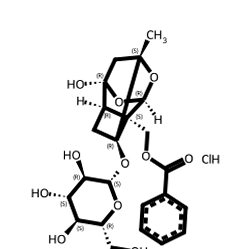 C[C@@]12C[C@@]3(O)O[C@@H](O1)[C@]1(COC(=O)c4ccccc4)[C@H]3C[C@@]12O[C@@H]1O[C@H](CO)[C@@H](O)[C@H](O)[C@H]1O.Cl